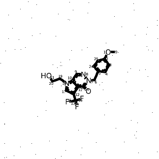 COc1ccc(Cn2ncc3c(c(C(F)(F)F)cn3CCO)c2=O)cc1